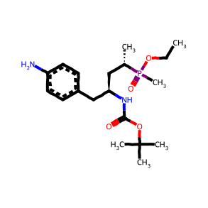 CCOP(C)(=O)[C@@H](C)C[C@H](Cc1ccc(N)cc1)NC(=O)OC(C)(C)C